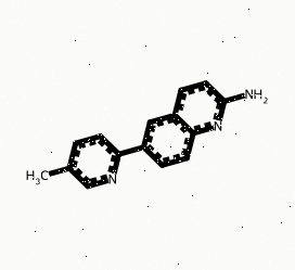 Cc1ccc(-c2ccc3nc(N)ccc3c2)nc1